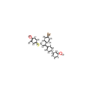 COc1cccc(-c2ccc(/C(=C/CSc3ccc([O])c(C)c3)c3ccc(Br)cc3)cc2)c1